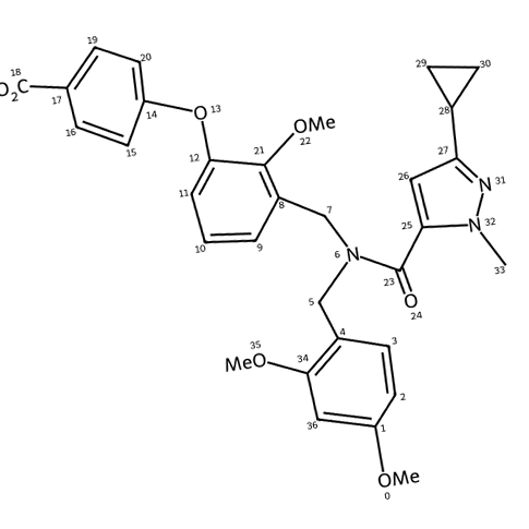 COc1ccc(CN(Cc2cccc(Oc3ccc(C(=O)O)cc3)c2OC)C(=O)c2cc(C3CC3)nn2C)c(OC)c1